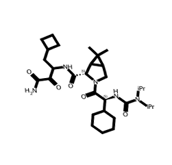 CC(C)N(C(=O)N[C@H](C(=O)N1CC2C([C@H]1C(=O)NC(CC1CCC1)C(=O)C(N)=O)C2(C)C)C1CCCCC1)C(C)C